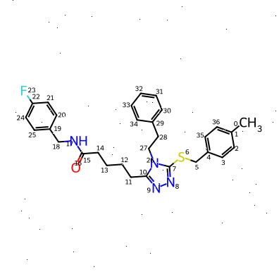 Cc1ccc(CSc2nnc(CCCCC(=O)NCc3ccc(F)cc3)n2CCc2ccccc2)cc1